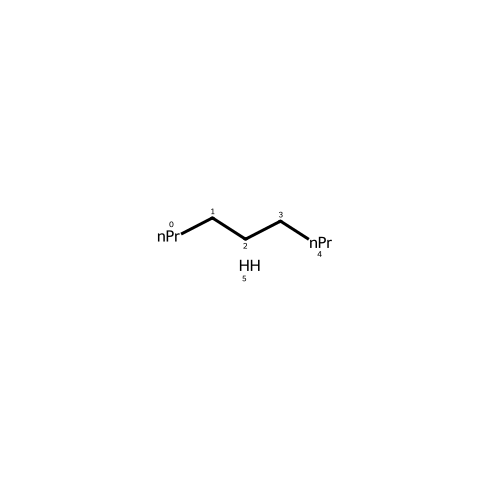 CCCCCCCCC.[HH]